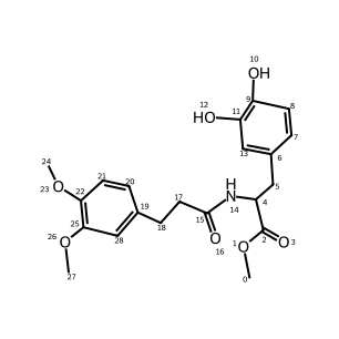 COC(=O)C(Cc1ccc(O)c(O)c1)NC(=O)CCc1ccc(OC)c(OC)c1